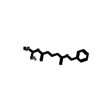 CC(C)OC(=O)CCCC(=O)OCc1ccccc1